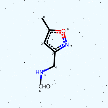 Cc1cc(CN[C]=O)no1